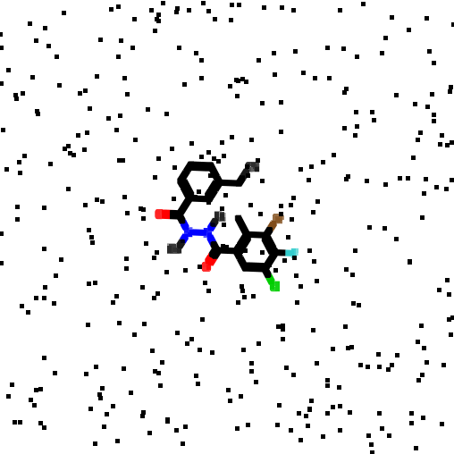 CCC(C)N(C(=O)c1cccc(CC#N)c1)N(CC)C(=O)c1cc(Cl)c(F)c(Br)c1C